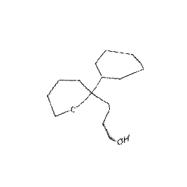 OCCC1([C]2CCCCC2)CCCCC1